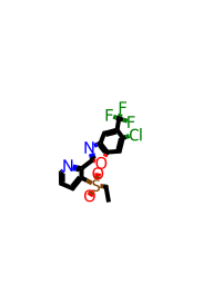 CCS(=O)(=O)c1cccnc1-c1nc2cc(C(F)(F)F)c(Cl)cc2o1